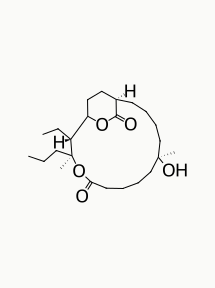 CCC[C@]1(C)OC(=O)CCCC[C@](C)(O)CCCC[C@@H]2CCC(OC2=O)[C@H]1CC